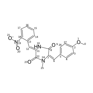 COc1ccc(C=c2c(=O)[nH]c(=Cc3ccccc3[N+](=O)[O-])c(=O)n2C)cc1